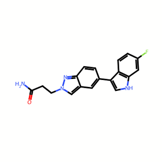 NC(=O)CCn1cc2cc(-c3c[nH]c4cc(F)ccc34)ccc2n1